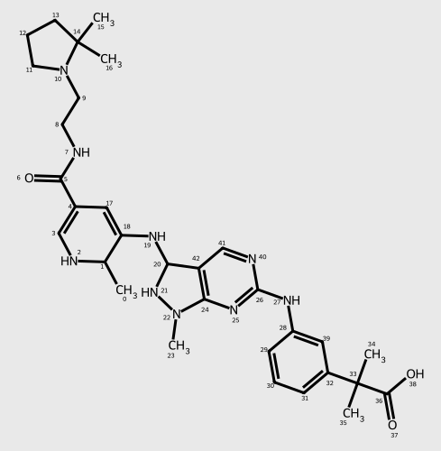 CC1NC=C(C(=O)NCCN2CCCC2(C)C)C=C1NC1NN(C)c2nc(Nc3cccc(C(C)(C)C(=O)O)c3)ncc21